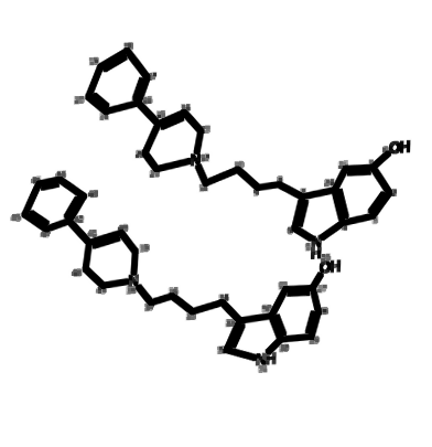 Oc1ccc2[nH]cc(CCCCN3CC=C(c4ccccc4)CC3)c2c1.Oc1ccc2[nH]cc(CCCCN3CC=C(c4ccccc4)CC3)c2c1